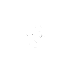 Cc1nn([B-](c2c(C)c(C)c(C)c(C)c2C)(c2c(C)c(C)c(C)c(C)c2C)n2nc(C)c(C)c2C)c(C)c1C